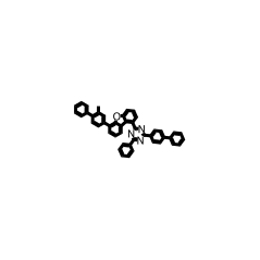 Cc1cc(-c2cccc3c2oc2cccc(-c4nc(-c5ccccc5)nc(-c5ccc(-c6ccccc6)cc5)n4)c23)ccc1-c1ccccc1